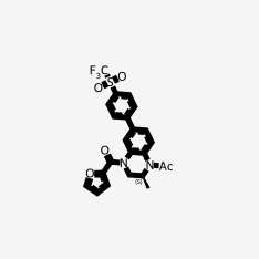 CC(=O)N1c2ccc(-c3ccc(S(=O)(=O)C(F)(F)F)cc3)cc2N(C(=O)c2ccco2)C[C@@H]1C